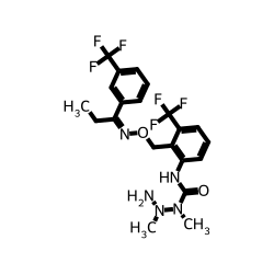 CCC(=NOCc1c(NC(=O)N(C)N(C)N)cccc1C(F)(F)F)c1cccc(C(F)(F)F)c1